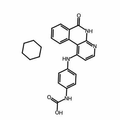 C1CCCCC1.O=C(O)Nc1ccc(Nc2ccnc3[nH]c(=O)c4ccccc4c23)cc1